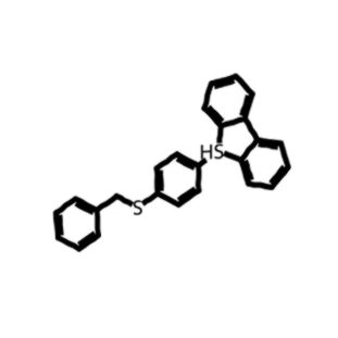 c1ccc(CSc2ccc([SH]3c4ccccc4-c4ccccc43)cc2)cc1